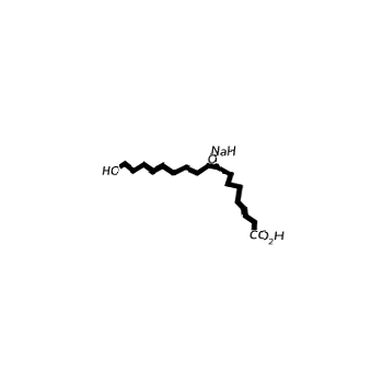 O=C(O)CCCCCCCC1OC1CCCCCCCCO.[NaH]